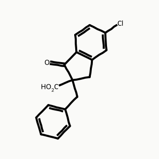 O=C(O)C1(Cc2ccccc2)Cc2cc(Cl)ccc2C1=O